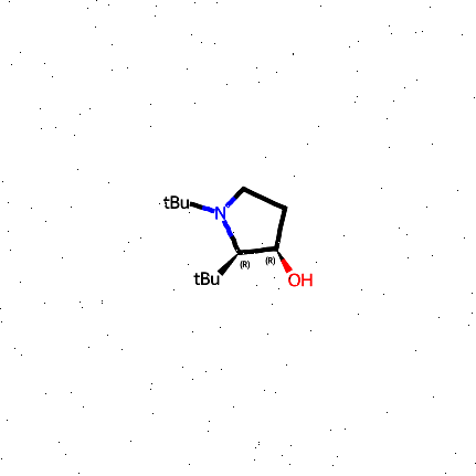 CC(C)(C)[C@@H]1[C@H](O)CCN1C(C)(C)C